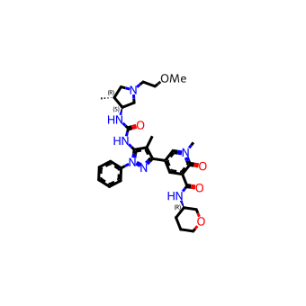 COCCN1C[C@@H](C)[C@H](NC(=O)Nc2c(C)c(-c3cc(C(=O)N[C@@H]4CCCOC4)c(=O)n(C)c3)nn2-c2ccccc2)C1